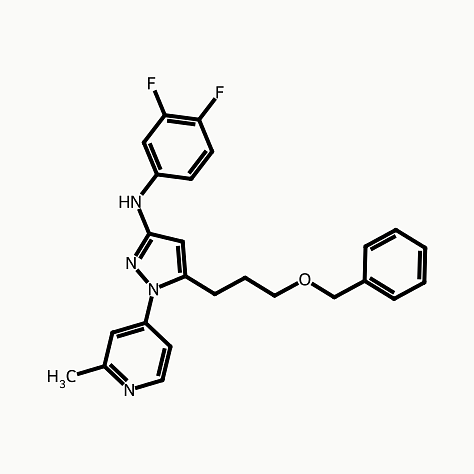 Cc1cc(-n2nc(Nc3ccc(F)c(F)c3)cc2CCCOCc2ccccc2)ccn1